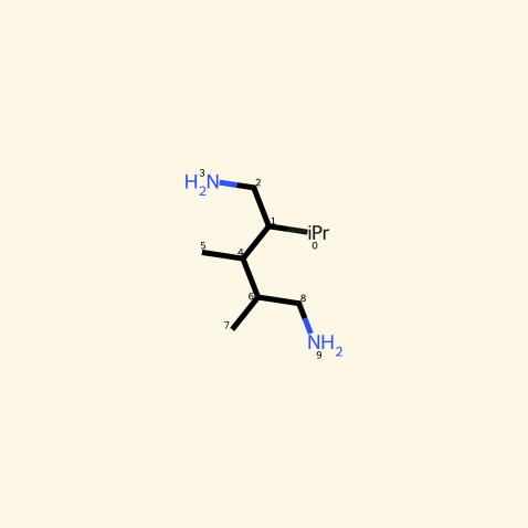 CC(C)C(CN)C(C)C(C)CN